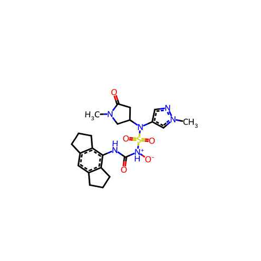 CN1CC(N(c2cnn(C)c2)S(=O)(=O)[NH+]([O-])C(=O)Nc2c3c(cc4c2CCC4)CCC3)CC1=O